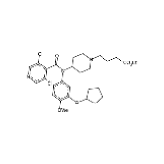 CCOC(=O)CCCN1CCC(N(C(=O)c2c(Cl)cncc2Cl)c2ccc(OC)c(OC3CCCC3)c2)CC1